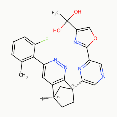 Cc1cccc(F)c1-c1cc2c(nn1)[C@@]1(c3cncc(-c4nc(C(O)(O)C(F)(F)F)co4)n3)CC[C@@H]2C1